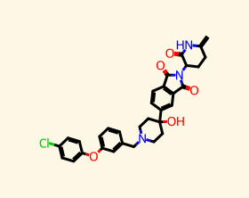 C=C1CCC(N2C(=O)c3ccc(C4(O)CCN(Cc5cccc(Oc6ccc(Cl)cc6)c5)CC4)cc3C2=O)C(=O)N1